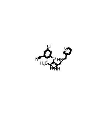 Cc1n[nH]c(CNCc2cccnc2)c1Oc1cc(Cl)cc(C#N)c1